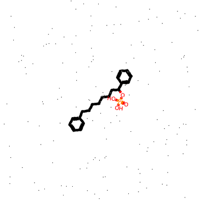 O=P(O)(O)OC(CCCCCCCc1ccccc1)c1ccccc1